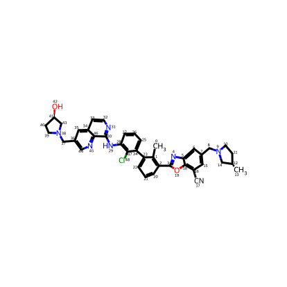 Cc1c(-c2nc3cc(CN4CC[C@@H](C)C4)cc(C#N)c3o2)cccc1-c1cccc(Nc2nccc3cc(CN4CC[C@@H](O)C4)cnc23)c1Cl